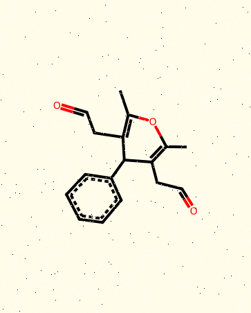 CC1=C(CC=O)C(c2ccccc2)C(CC=O)=C(C)O1